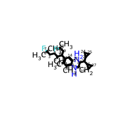 C=C(CCC(C)(C)F)C(CC(C)F)c1ccc(NC(=C)C(N)C(C2CC2)C2CC2)c(C)c1C